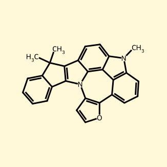 Cn1c2cccc3c4occc4n4c5c(c6ccc1c(c32)c64)C(C)(C)c1ccccc1-5